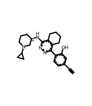 C#Cc1ccc(-c2nnc(N[C@@H]3CCCN(C4CC4)C3)c3c2CCCC3)c(O)c1